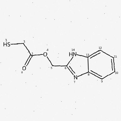 O=C(CS)OCc1nc2ccccc2[nH]1